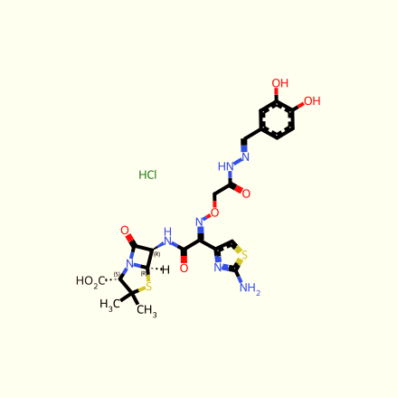 CC1(C)S[C@@H]2[C@H](NC(=O)C(=NOCC(=O)NN=Cc3ccc(O)c(O)c3)c3csc(N)n3)C(=O)N2[C@H]1C(=O)O.Cl